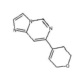 C1=C(c2cc3nccn3cn2)CCOC1